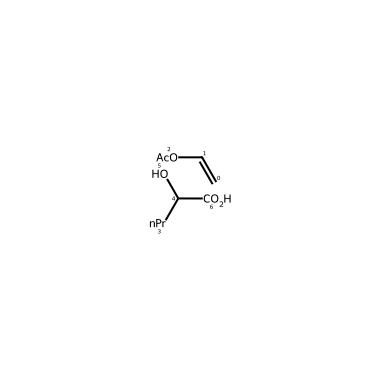 C=COC(C)=O.CCCC(O)C(=O)O